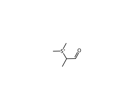 CC(C=O)[S+](C)C